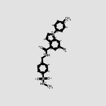 CNS(=O)(=O)c1ccc(CNC(=O)c2cc(Br)cc3c2ccn3-c2ccc(C)cc2)cc1